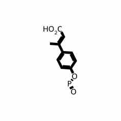 C/C(=C\C(=O)O)c1ccc(OP=O)cc1